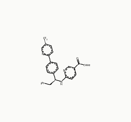 COC(=O)c1ccc(N[C@@H](CC(C)C)c2ccc(-c3ccc(C(F)(F)F)cn3)cc2)nc1